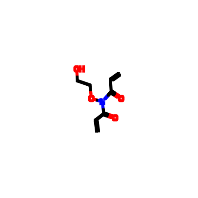 C=CC(=O)N(OCCO)C(=O)C=C